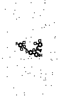 O=C(C1=C(c2ccc(OCCOc3c(Cl)cc(F)cc3Cl)cc2)CCNC1)N(Cc1cccc(Cl)c1Cl)C1CC1